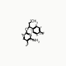 CCC(Oc1ncc(F)c(N)n1)c1ccc(F)cc1